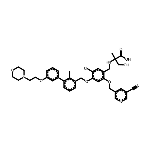 Cc1c(COc2cc(OCc3cncc(C#N)c3)c(CNC(C)(CO)C(=O)O)cc2Cl)cccc1-c1cccc(OCCN2CCOCC2)c1